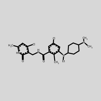 CCN(c1cc(Cl)cc(C(=O)NCc2c(Cl)cc(C)[nH]c2=O)c1C)C1CCC(N(C)C)CC1